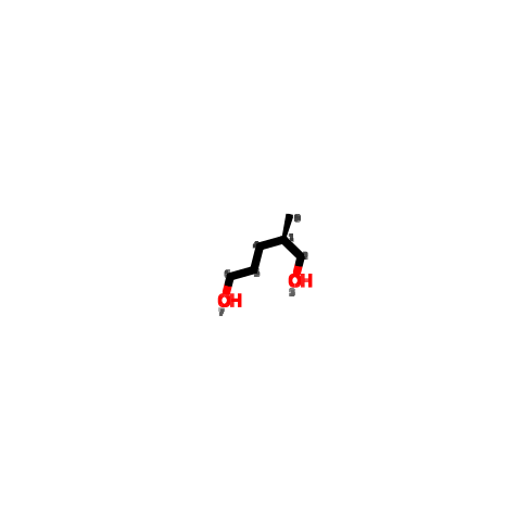 C[C@@H](CO)CCCO